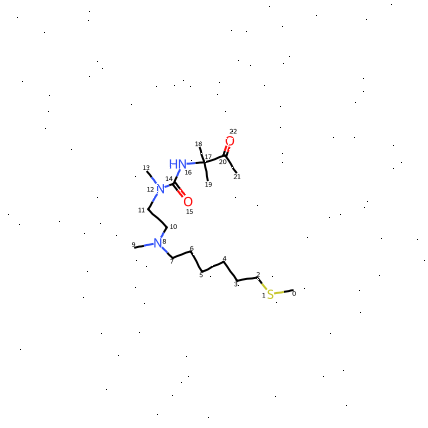 CSCCCCCCN(C)CCN(C)C(=O)NC(C)(C)C(C)=O